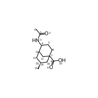 CC(=O)NC1CCC2(C(=O)O)CC1C[C@H](C)C2